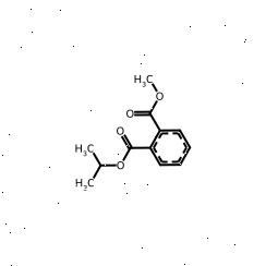 COC(=O)c1ccccc1C(=O)OC(C)C